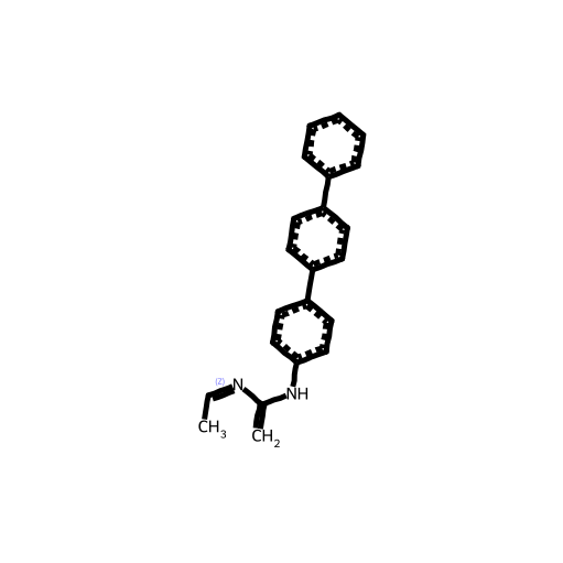 C=C(/N=C\C)Nc1ccc(-c2ccc(-c3ccccc3)cc2)cc1